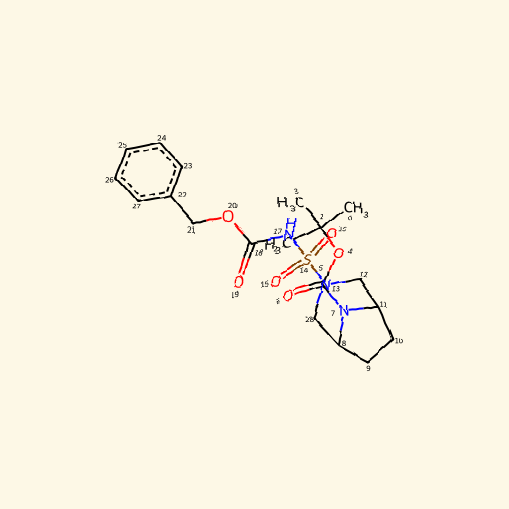 CC(C)(C)OC(=O)N1C2CCC1CN(S(=O)(=O)NC(=O)OCc1ccccc1)C2